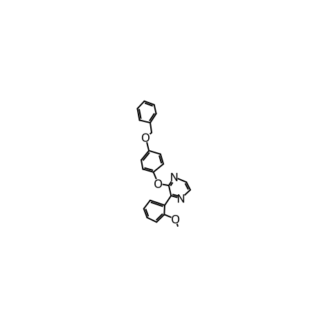 COc1ccccc1-c1nccnc1Oc1ccc(OCc2ccccc2)cc1